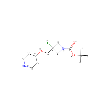 CC(C)(C)OC(=O)N1CC(F)(COC2CCNCC2)C1